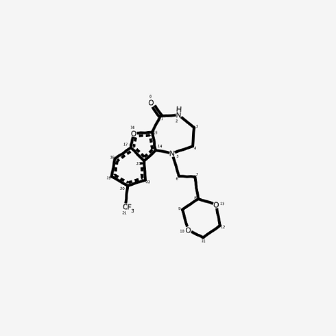 O=C1NCCN(CCC2COCCO2)c2c1oc1ccc(C(F)(F)F)cc21